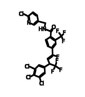 O=C(NCc1ccc(Cl)nc1)c1ccc(C(F)=CC(c2cc(Cl)c(Cl)c(Cl)c2)C(F)(F)F)cc1C(F)(F)F